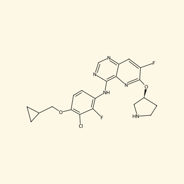 Fc1cc2ncnc(Nc3ccc(OCC4CC4)c(Cl)c3F)c2nc1O[C@H]1CCNC1